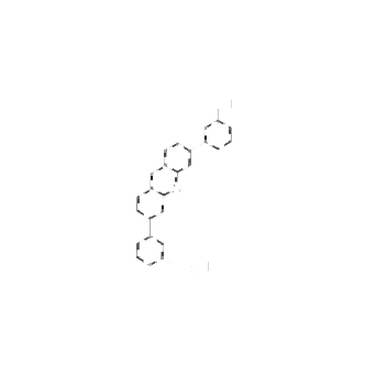 Cc1cccc(-c2ccc3cc4ccc(-c5cccc(C(=O)O)c5)cc4nc3c2)c1